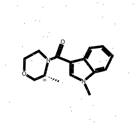 C[C@@H]1COCCN1C(=O)c1cn(C)c2ccccc12